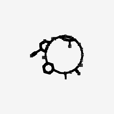 CN1CC(=O)NCCCOc2ccc(cc2Cl)Nc2ncc(C#N)c(n2)Nc2cccc(c2)C1